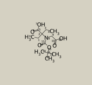 CCC(CC)(C(=O)O)N(CC(=O)O)C(=O)OC(C)(C)C